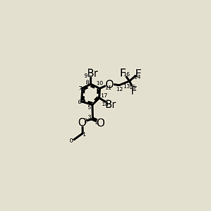 CCOC(=O)c1ccc(Br)c(OCC(F)(F)F)c1Br